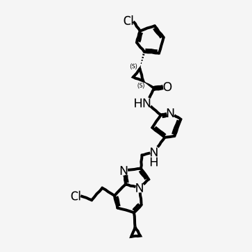 O=C(Nc1cc(NCc2cn3cc(C4CC4)cc(CCCl)c3n2)ccn1)[C@H]1C[C@@H]1c1cccc(Cl)c1